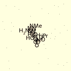 CNc1nc(N)nc2c1ncn2[C@@H]1O[C@H](COP(=O)(N[C@@H](C)C(=O)OC(C)C)Oc2ccccc2)[C@@H](O)[C@]1(F)CF